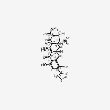 Cc1c(C2CCCN2)cc(O)c2c1C[C@H]1C[C@H]3[C@H](N(C)C)C(O)=C(C(N)=O)C(=O)[C@@]3(O)C(O)=C1C2=O